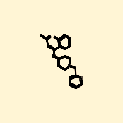 C=C(C)/C=C(/OC1CCN(Cc2ccccn2)CC1)c1ccccc1C